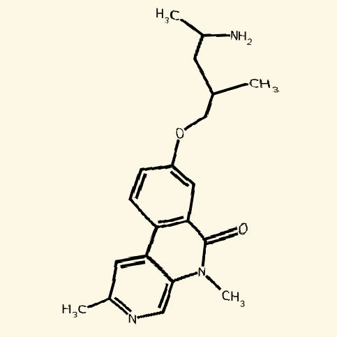 Cc1cc2c3ccc(OCC(C)CC(C)N)cc3c(=O)n(C)c2cn1